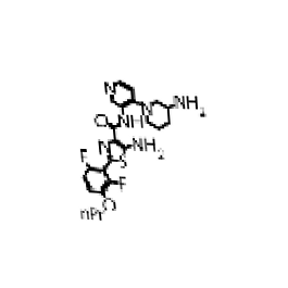 CCCOc1ccc(F)c(-c2nc(C(=O)Nc3cnccc3N3CCCC(N)C3)c(N)s2)c1F